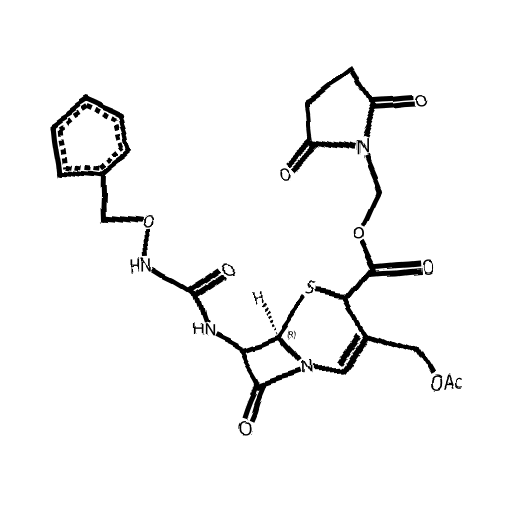 CC(=O)OCC1=CN2C(=O)C(NC(=O)NOCc3ccccc3)[C@H]2SC1C(=O)OCN1C(=O)CCC1=O